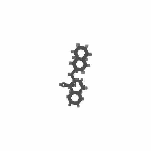 O=C1c2ccccc2N=C[SH]1Cc1ccc2ccccc2c1